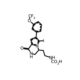 O=C(O)NCCC1CNC(=O)c2cc(-c3cccc(OC(F)(F)F)c3)c(I)n21